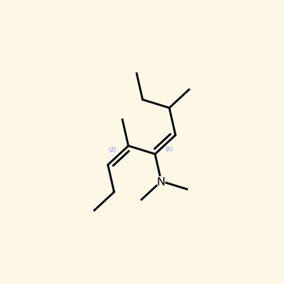 CC/C=C(C)\C(=C/C(C)CC)N(C)C